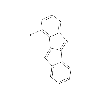 [Ti][c]1cccc2c1C1=Cc3ccccc3C1=N2